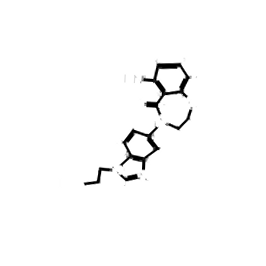 CCCn1cnc2cc(N3CCOc4cccc(N)c4C3=O)ccc21